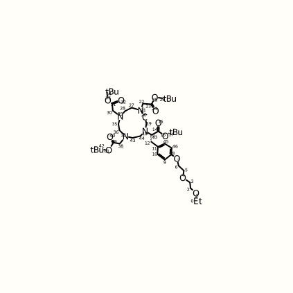 CCOCCOCCOc1ccc(C[C@@H](C(=O)OC(C)(C)C)N2CCN(CC(=O)OC(C)(C)C)CCN(CC(=O)OC(C)(C)C)CCN(CC(=O)OC(C)(C)C)CC2)cc1